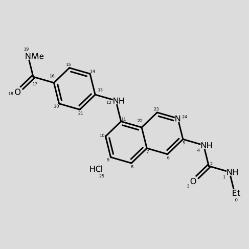 CCNC(=O)Nc1cc2cccc(Nc3ccc(C(=O)NC)cc3)c2cn1.Cl